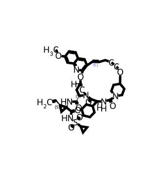 C=C[C@@H]1C[C@]1(NC(=O)[C@@H]1C[C@@H]2CN1C(=O)[C@H](C1CCCCC1)NC(=O)N1CCC(CC1)OCCC/C=C/c1cc3ccc(OC)cc3nc1O2)C(=O)NS(=O)(=O)C1CC1